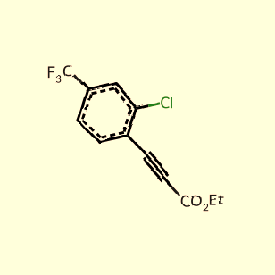 CCOC(=O)C#Cc1ccc(C(F)(F)F)cc1Cl